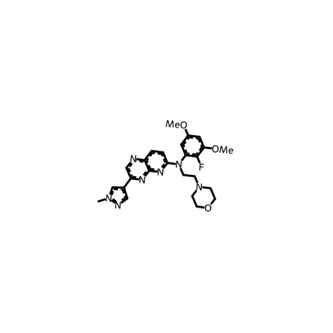 COc1cc(OC)c(F)c(N(CCN2CCOCC2)c2ccc3ncc(-c4cnn(C)c4)nc3n2)c1